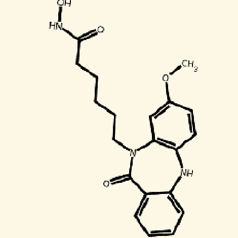 COc1ccc2c(c1)N(CCCCCC(=O)NO)C(=O)c1ccccc1N2